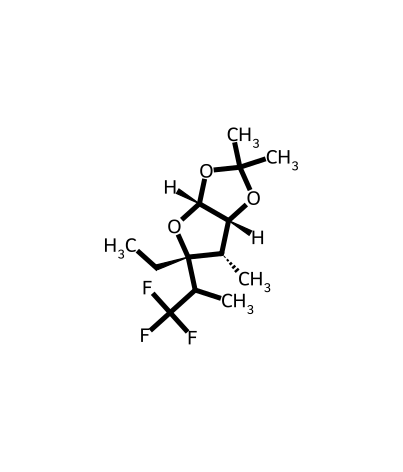 CC[C@@]1(C(C)C(F)(F)F)O[C@@H]2OC(C)(C)O[C@@H]2[C@@H]1C